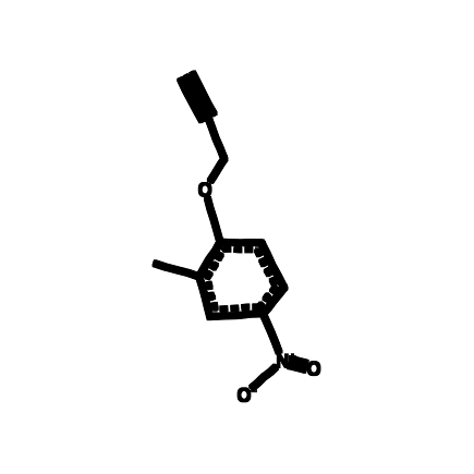 C#CCOc1ccc([N+](=O)[O-])cc1C